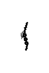 CCCCCCCCCOc1ccc(-c2ccc(-c3ccc(CCCCC)cc3)cc2)c(F)c1F